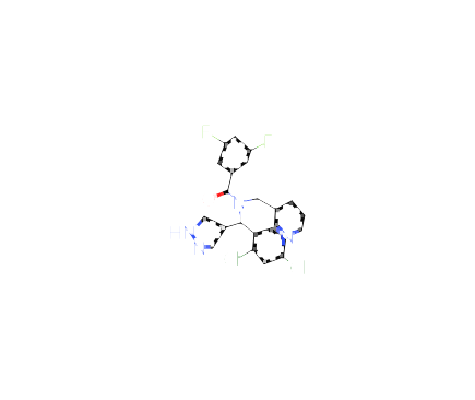 O=C(c1cc(F)cc(F)c1)N(Cc1cccnc1)[C@H](c1cn[nH]c1)c1ccc(Cl)cc1Cl